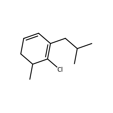 CC(C)CC1=C(Cl)C(C)CC=C1